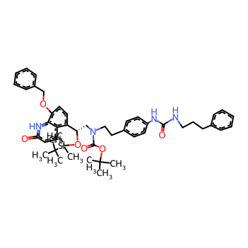 CC(C)(C)OC(=O)N(CCc1ccc(NC(=O)NCCCc2ccccc2)cc1)C[C@H](O[Si](C)(C)C(C)(C)C)c1ccc(OCc2ccccc2)c2[nH]c(=O)ccc12